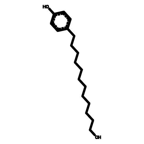 OCCCCCCCCCCCCc1ccc(O)cc1